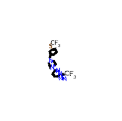 FC(F)(F)Sc1cccc(CN2CCN(c3ccc4nnc(C(F)(F)F)n4n3)CC2)c1